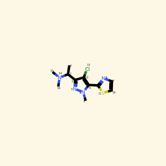 CC(c1nn(C)c(-c2nccs2)c1Cl)N(C)C